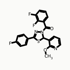 COc1ncccc1C1SC(c2ccc(F)cc2)=NN1C(=O)c1cccc(F)c1F